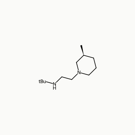 C[C@H]1CCCN(CCNC(C)(C)C)C1